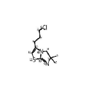 CC1(C)CN2C(CCCCl)=CSC2=N1